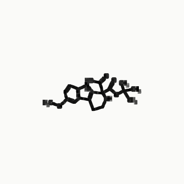 COc1ccc2[nH]c3c(c2c1)CCNC3(C(=O)O)C(=O)OC(C)(C)C